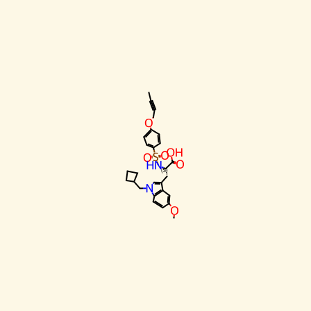 CC#CCOc1ccc(S(=O)(=O)N[C@@H](Cc2cn(CC3CCC3)c3ccc(OC)cc23)C(=O)O)cc1